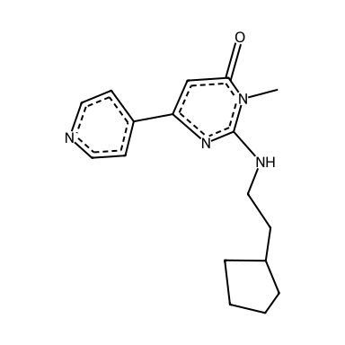 Cn1c(NCCC2CCCC2)nc(-c2ccncc2)cc1=O